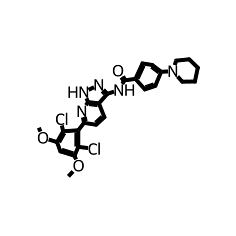 COc1cc(OC)c(Cl)c(-c2ccc3c(NC(=O)c4ccc(N5CCCCC5)cc4)n[nH]c3n2)c1Cl